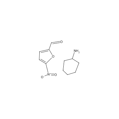 NC1CCCCC1.O=Cc1ccc([N+](=O)[O-])o1